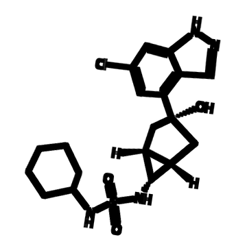 O=S(=O)(NC1CCCCC1)N[C@@H]1[C@@H]2C[C@@](O)(c3cc(Cl)cc4[nH]ncc34)C[C@@H]21